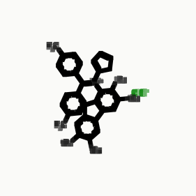 CC(C)(C)c1cc2c(cc1C(C)(C)C)-c1cc(C(C)(C)C)c(C(C)(C)C)[c]([Zr+2]([C]3=CC=CC3)=[C](c3ccc(C(F)(F)F)cc3)c3ccc(C(F)(F)F)cc3)c1C2.[Cl-].[Cl-]